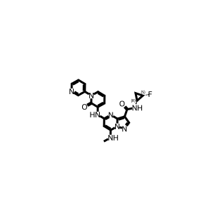 CNc1cc(Nc2cccn(-c3cccnc3)c2=O)nc2c(C(=O)N[C@@H]3C[C@@H]3F)cnn12